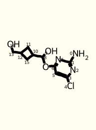 Nc1nc(Cl)cc(OC(O)C2CC(CO)C2)n1